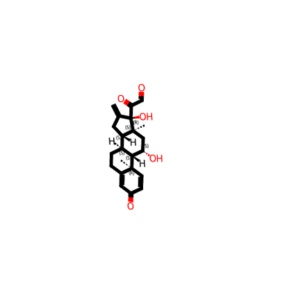 C=C1C[C@H]2[C@@H]3CCC4=CC(=O)C=C[C@]4(C)[C@H]3[C@@H](O)C[C@]2(C)[C@@]1(O)C(=O)C=O